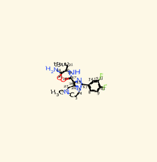 CN1CCCn2c(-c3ccc(F)c(F)c3)nc(C(=O)NC(CC(C)(C)C)C(N)=O)c2C1